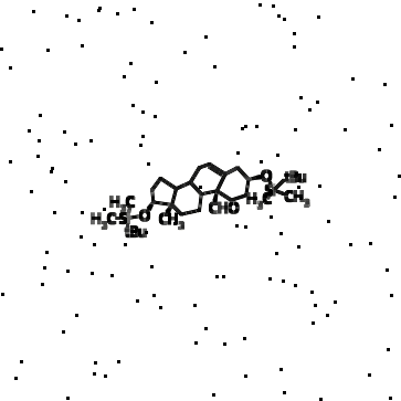 CC(C)(C)[Si](C)(C)O[C@H]1CC[C@@]2(C=O)C(=CCC3C2CC[C@@]2(C)C3CC[C@@H]2O[Si](C)(C)C(C)(C)C)C1